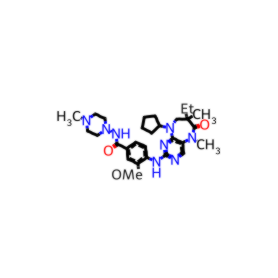 CCC1(C)CN(C2CCCC2)c2nc(Nc3ccc(C(=O)NN4CCN(C)CC4)cc3OC)ncc2N(C)C1=O